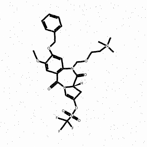 COc1cc2c(cc1OCc1ccccc1)N(COCC[Si](C)(C)C)C(=O)[C@@H]1CC(OS(=O)(=O)C(F)(F)F)=CN1C2=O